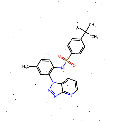 Cc1ccc(NS(=O)(=O)c2ccc(C(C)(C)C)cc2)c(-n2nnc3ncccc32)c1